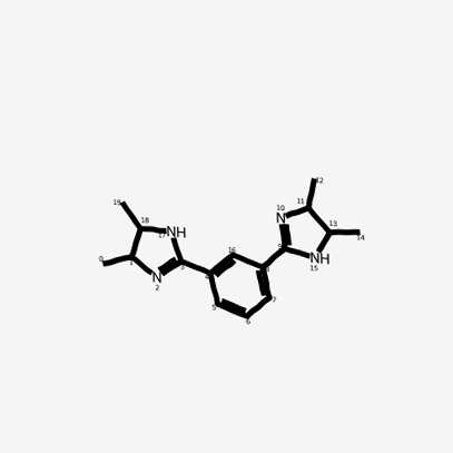 CC1N=C(c2cccc(C3=NC(C)C(C)N3)c2)NC1C